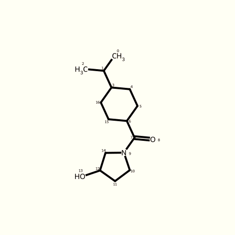 CC(C)C1CCC(C(=O)N2CCC(O)C2)CC1